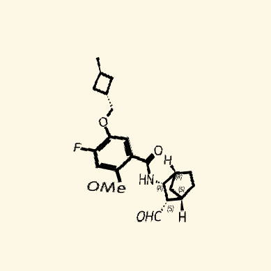 COc1cc(F)c(OC[C@H]2C[C@H](C)C2)cc1C(=O)N[C@@H]1[C@@H]2CC[C@@H](C2)[C@@H]1C=O